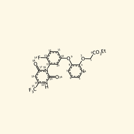 CCOC(=O)COc1ncccc1Oc1ccc(F)c(-n2c(=O)cc(C(F)(F)F)[nH]c2=O)c1